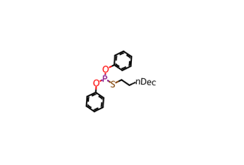 CCCCCCCCCCCCSP(Oc1ccccc1)Oc1ccccc1